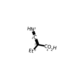 CCC(=C=N)C(=O)O